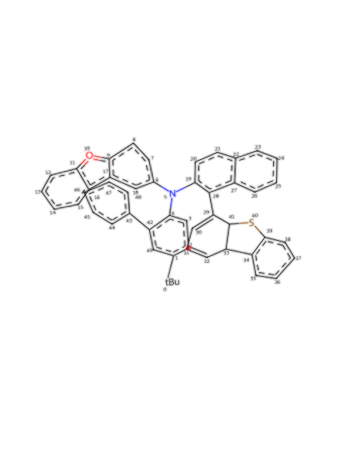 CC(C)(C)c1ccc(N(c2ccc3oc4ccccc4c3c2)c2ccc3ccccc3c2C2=CC=CC3c4ccccc4SC23)c(-c2ccccc2)c1